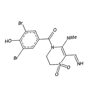 CNC1=C(C=N)S(=O)(=O)CCN1C(=O)c1cc(Br)c(O)c(Br)c1